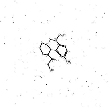 CC(C)(C)OC(=O)N1CCC[C@H](CN(C(=O)O)c2ccc(N)nc2)C1